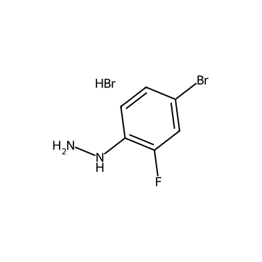 Br.NNc1ccc(Br)cc1F